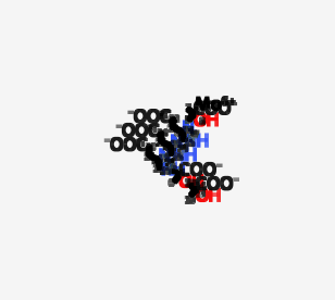 CC(C)(O)C(=O)[O-].CC(C)(O)C(=O)[O-].CC(C)(O)C(=O)[O-].O=C([O-])C=Cc1c[nH]cn1.O=C([O-])C=Cc1c[nH]cn1.O=C([O-])C=Cc1c[nH]cn1.[Mo+6]